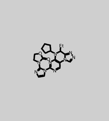 CCC1c2nncn2-c2cnc(-n3ccnc3N3CCOC3=O)nc2N1C1CCCC1